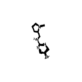 CN1CCCC1CNc1ncc(Br)cn1